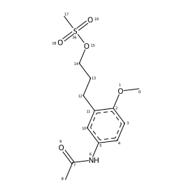 COc1ccc(NC(C)=O)cc1CCCOS(C)(=O)=O